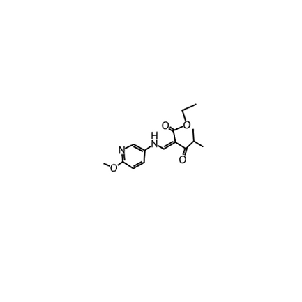 CCOC(=O)C(=CNc1ccc(OC)nc1)C(=O)C(C)C